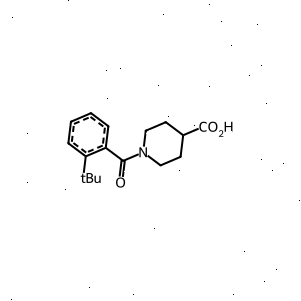 CC(C)(C)c1ccccc1C(=O)N1CCC(C(=O)O)CC1